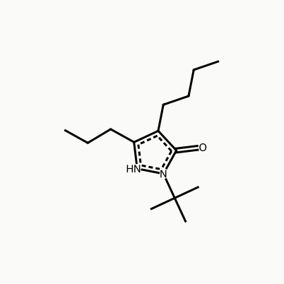 CCCCc1c(CCC)[nH]n(C(C)(C)C)c1=O